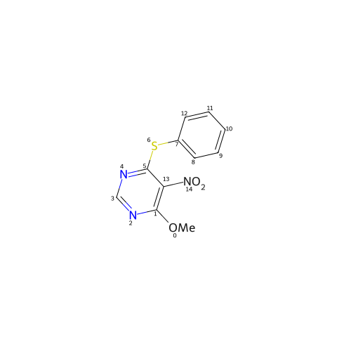 COc1ncnc(Sc2ccccc2)c1[N+](=O)[O-]